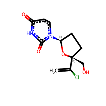 C=C(Cl)[C@@]1(CO)CC[C@H](n2ccc(=O)[nH]c2=O)O1